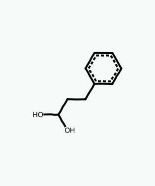 OC(O)CCc1ccccc1